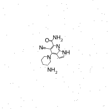 N#Cc1c(C(N)=O)nc2[nH]c[c]c2c1N1CCC[C@@H](N)C1